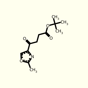 Cc1nc(C(=O)CCC(=O)OC(C)(C)C)co1